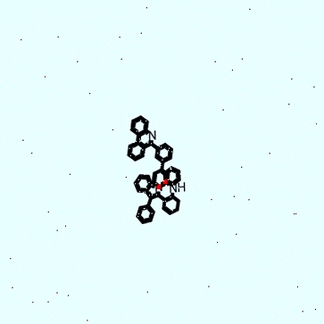 C1=CC(c2c(-c3ccccc3)c3ccccc3n2-c2ccccc2)=C(NC2C=C(c3cccc(-c4nc5ccccc5c5ccccc45)c3)C=CC2)CC1